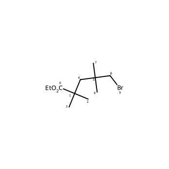 CCOC(=O)C(C)(C)CC(C)(C)CBr